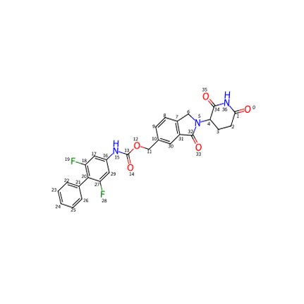 O=C1CCC(N2Cc3ccc(COC(=O)Nc4cc(F)c(-c5ccccc5)c(F)c4)cc3C2=O)C(=O)N1